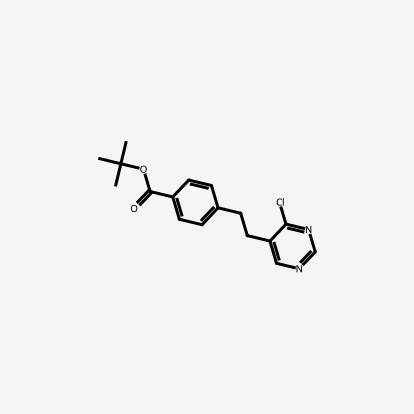 CC(C)(C)OC(=O)c1ccc(CCc2cncnc2Cl)cc1